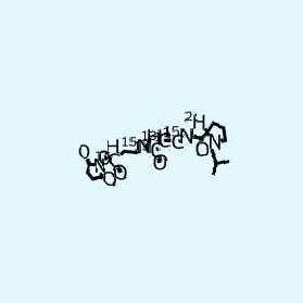 [2H]C1(C(=O)[15NH][13CH2][13CH2][13C](=O)[15NH]CC[13C](=O)ON2C(=O)CCC2=O)CCCN1CC(C)C